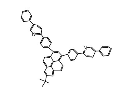 CC(C)(C)c1cc2ccc3c(-c4ccc(-c5ccc(-c6ccccc6)cn5)cc4)cc(-c4ccc(-c5ccc(-c6ccccc6)cn5)cc4)c4ccc(c1)c2c34